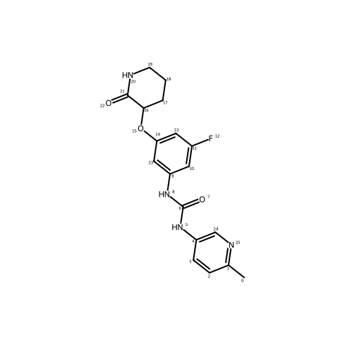 Cc1ccc(NC(=O)Nc2cc(F)cc(OC3CCCNC3=O)c2)cn1